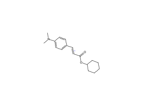 CN(C)c1ccc(/C=C/C(=O)OC2CCCCC2)cc1